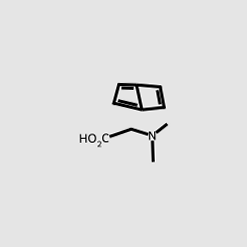 CN(C)CC(=O)O.c1cc2ccc1-2